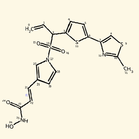 C=CC(c1ccc(-c2csc(C)n2)s1)S(=O)(=O)n1ccc(/C=C/C(=O)NO)c1